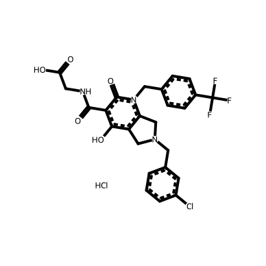 Cl.O=C(O)CNC(=O)c1c(O)c2c(n(Cc3ccc(C(F)(F)F)cc3)c1=O)CN(Cc1cccc(Cl)c1)C2